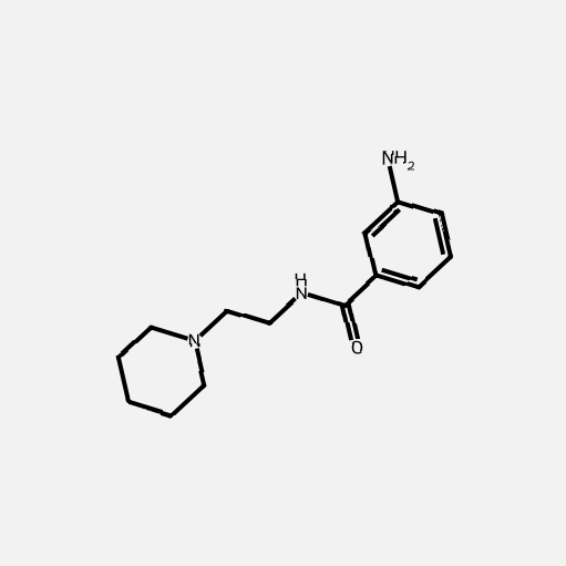 Nc1cccc(C(=O)NCCN2CCCCC2)c1